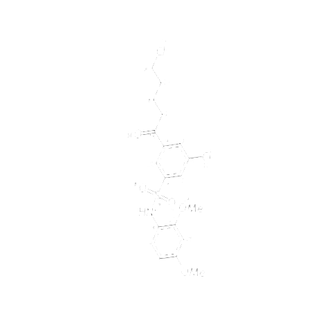 COc1ccc(NS(=O)(=O)c2cc(Cl)cc(C(=O)CCCCCl)c2)c(OC)c1